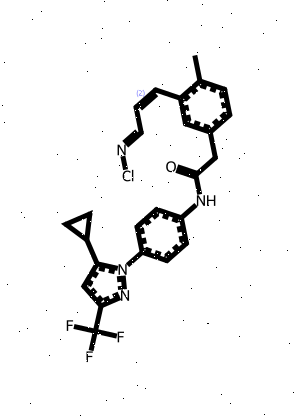 Cc1ccc(CC(=O)Nc2ccc(-n3nc(C(F)(F)F)cc3C3CC3)cc2)cc1/C=C\C=NCl